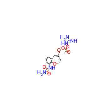 N=C(N)NOS(=O)(=O)CC(=O)C1=Cc2cccc(NS(N)(=O)=O)c2OCC1